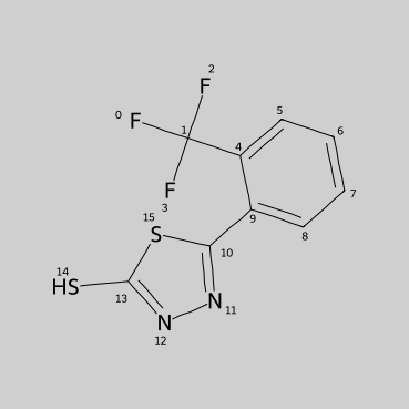 FC(F)(F)c1ccccc1-c1nnc(S)s1